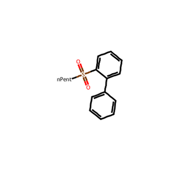 [CH2]CCCCS(=O)(=O)c1ccccc1-c1ccccc1